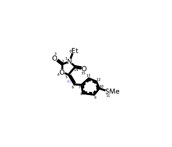 CCN1C(=O)O/C(=C/c2ccc(SC)cc2)C1=O